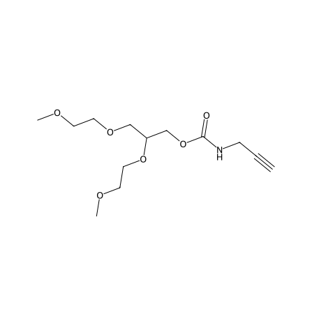 C#CCNC(=O)OCC(COCCOC)OCCOC